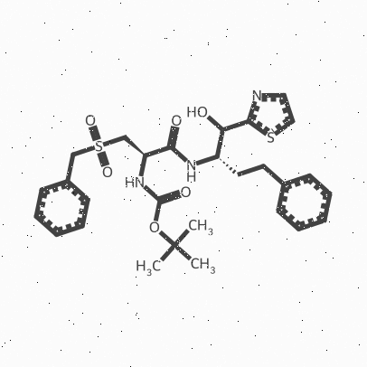 CC(C)(C)OC(=O)N[C@@H](CS(=O)(=O)Cc1ccccc1)C(=O)N[C@@H](CCc1ccccc1)C(O)c1nccs1